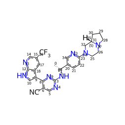 C[C@@H](Nc1ncc(C#N)c(-c2c[nH]c3ncc(C(F)(F)F)cc23)n1)c1ccc(N2CCN3CCC[C@H]3C2)nc1